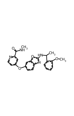 CNC(=O)c1cc(Oc2ccc3nc(NC(C)c4ccccc4OC)oc3c2)ccn1